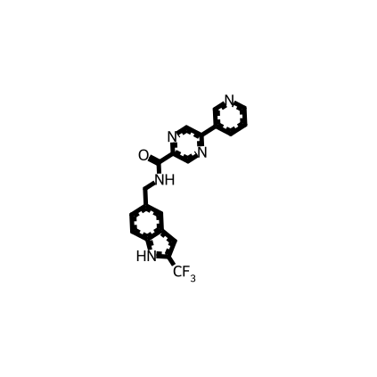 O=C(NCc1ccc2[nH]c(C(F)(F)F)cc2c1)c1cnc(-c2cccnc2)cn1